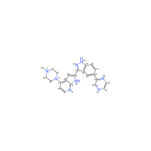 CN1CCN(c2ccnc3[nH]c(-c4n[nH]c5ccc(-c6cnccn6)cc45)cc23)CC1